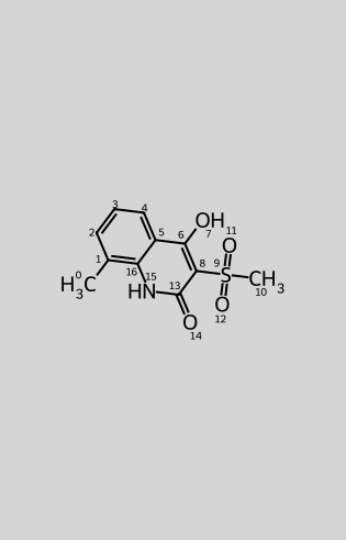 Cc1cccc2c(O)c(S(C)(=O)=O)c(=O)[nH]c12